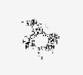 CC[C@H]1OC(=O)[C@H](C)[C@@H](O[C@H]2C[C@@](C)(OC)C3(CO3)[C@H](C)O2)[C@H](C)[C@@H](C)[C@](C)(O)C[C@@H](C)CN(C)[C@H](C)[C@@H](O)[C@]1(C)O